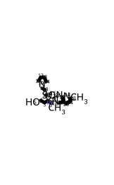 C/C(=C(\CCO)SSCCN1CCCC1)N(C=O)Cc1ccc(C)nc1N